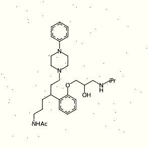 CC(=O)NCCCC(CCN1CCN(c2ccccc2)CC1)c1ccccc1OCC(O)CNC(C)C